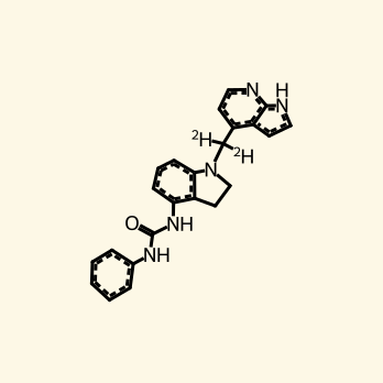 [2H]C([2H])(c1ccnc2[nH]ccc12)N1CCc2c(NC(=O)Nc3ccccc3)cccc21